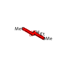 C=Cc1cc(OCCOCCOCCOCCOCCOCCOCCOCCOCCOCCOCCOC)c(/C=C/c2cc(C(=O)OCCOCCOCCOCCOCCOCCOCCOCCOCCOCCOCCOC)c(Br)cc2C(=O)OCC)cc1O